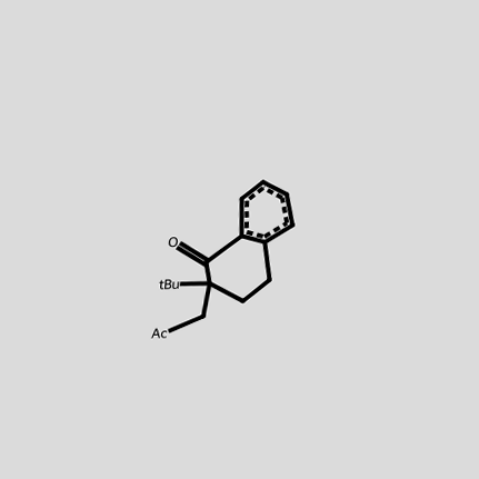 CC(=O)CC1(C(C)(C)C)CCc2ccccc2C1=O